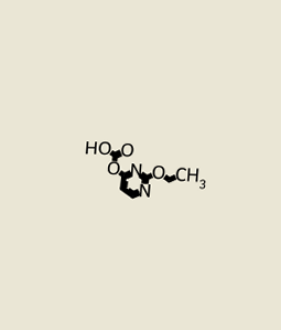 CCOc1nccc(OC(=O)O)n1